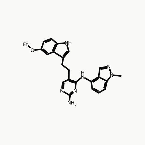 CCOc1ccc2[nH]cc(CCc3cnc(N)nc3Nc3cccc4c3cnn4C)c2c1